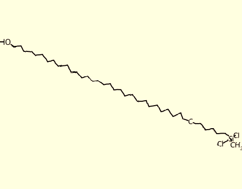 C[Si](Cl)(Cl)CCCCCCCCCCCCCCCCCCCCCCCCCCCCCCCCCCCCCCO